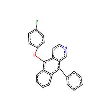 Fc1ccc(Oc2c3ccccc3c(-c3ccccc3)c3cnccc23)cc1